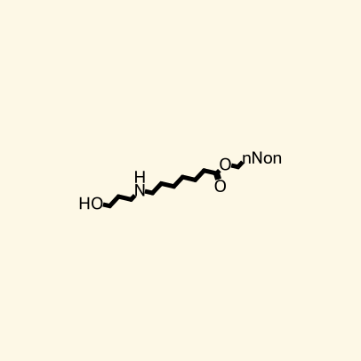 CCCCCCCCCCOC(=O)CCCCCCNCCCO